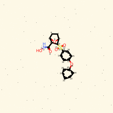 O=C(NO)C1C2CCC(O2)C1S(=O)(=O)c1ccc(Oc2ccccc2)cc1